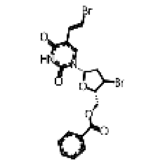 O=C(OC[C@@H]1O[C@H](n2cc(/C=C/Br)c(=O)[nH]c2=O)CC1Br)c1ccccc1